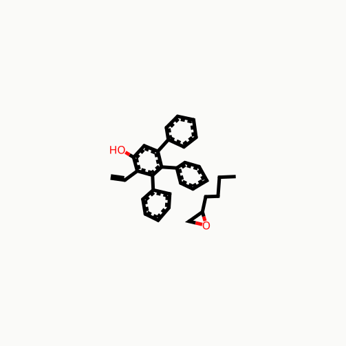 C=Cc1c(O)cc(-c2ccccc2)c(-c2ccccc2)c1-c1ccccc1.CCCCC1CO1